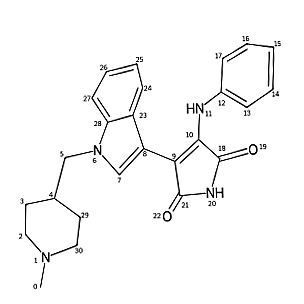 CN1CCC(Cn2cc(C3=C(Nc4ccccc4)C(=O)NC3=O)c3ccccc32)CC1